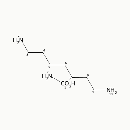 NC(=O)O.NCCCCCCCN